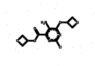 Nc1c(OC2COC2)nc(Cl)nc1C(=O)OC1COC1